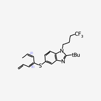 C=C/C=C(\C=C/C)Sc1ccc2c(c1)nc(C(C)(C)C)n2CCCC(F)(F)F